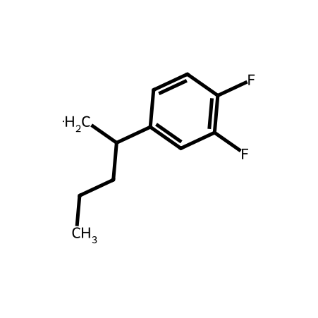 [CH2]C(CCC)c1ccc(F)c(F)c1